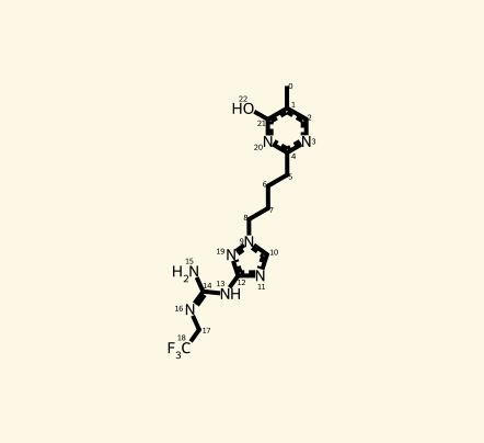 Cc1cnc(CCCCn2cnc(N/C(N)=N\CC(F)(F)F)n2)nc1O